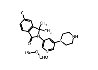 CC(C)(C)OC=O.CC1(C)c2cc(Cl)ccc2C(=O)N1c1cncc(N2CCNCC2)c1